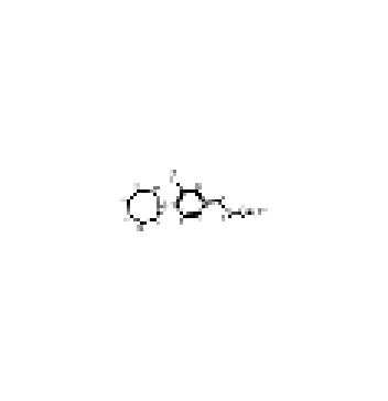 O=C=NCc1ccc(N2CCCCCC2)c(F)c1